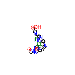 COc1nc(-c2ccnc(-c3cccc(Nc4nccc(CN5CCC(C(=O)O)CC5)c4F)c3Cl)c2Cl)ccc1CNC[C@H]1CCC(=O)N1